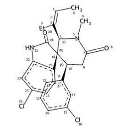 C/C=C(/CC)[C@H]1N(C)C(=O)C[C@@H](c2cccc(Cl)c2)[C@]12C(=O)Nc1cc(Cl)ccc12